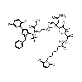 C[C@H](NC(=O)CCCCCN1C(=O)C=CC1=O)C(=O)N[C@H](C)C(=O)N[C@](C=O)(CNCCCN(C(=O)CO)[C@@H](c1cc(-c2cc(F)ccc2F)cn1Cc1ccccc1)C(C)(C)C)CC(N)=O